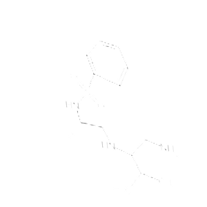 CC(C)C(CN)NC[C@H](C)NS(=O)(=O)c1ccccc1